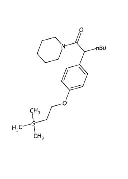 CCCCC(C(=O)N1CCCCC1)c1ccc(OCCS(C)(C)C)cc1